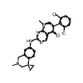 CN1Cc2cc(Nc3ncc4c(=O)c(-c5c(Cl)cccc5Cl)cn(C)c4n3)ccc2C2(CC2)C1